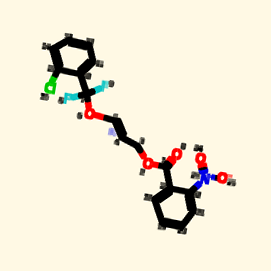 O=C(OC/C=C/OC(F)(F)c1ccccc1Cl)c1ccccc1[N+](=O)[O-]